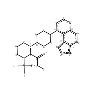 CCC(=O)C1C(C(F)(F)F)CCCN1C1CCC(c2ccnc3cnc4[nH]ccc4c23)CC1